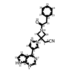 N#CCC1(n2cc(-c3ncnc4[nH]ccc34)cn2)CN(C(=O)Cc2ccccc2)C1